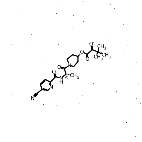 C[C@H](NC(=O)c1ccc(C#N)cn1)C(=O)N1CCC(OC(=O)C(=O)C(C)(C)C)CC1